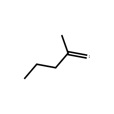 [C]=C(C)CCC